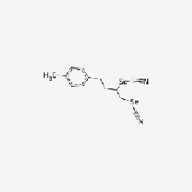 Cc1ccc(CCC(C[Se]C#N)[Se]C#N)cc1